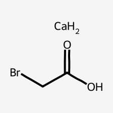 O=C(O)CBr.[CaH2]